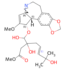 COC(=O)CC(O)(C/C=C/C(C)(C)O)C(O)O[C@@H]1C(OC)=C[C@]23CCCN2CCc2cc4c(cc2[C@H]13)OCO4